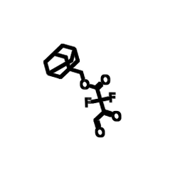 O=CC(=O)C(F)(F)C(=O)OCC12CC3CC(CC(C3)C1)C2